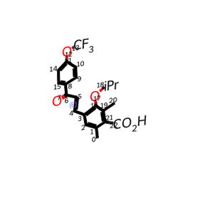 Cc1cc(/C=C/C(=O)c2ccc(OC(F)(F)F)cc2)c(OC(C)C)c(C)c1C(=O)O